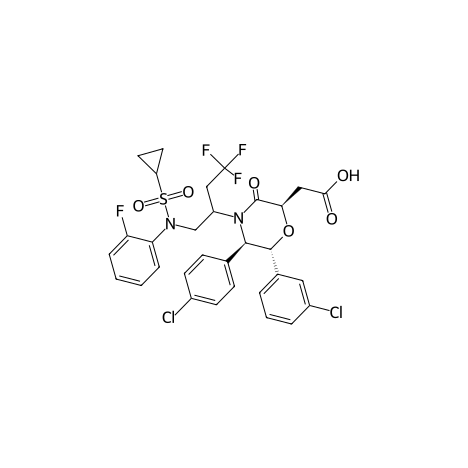 O=C(O)C[C@H]1O[C@H](c2cccc(Cl)c2)[C@@H](c2ccc(Cl)cc2)N(C(CN(c2ccccc2F)S(=O)(=O)C2CC2)CC(F)(F)F)C1=O